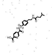 CC(C)CCC(=O)NCCc1ccc(S(=O)(=O)NC(=O)c2ccc(C(=O)O)nc2)cc1